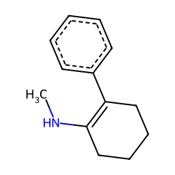 CNC1=C(c2ccccc2)CCCC1